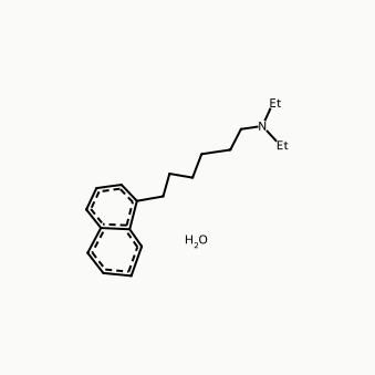 CCN(CC)CCCCCCc1cccc2ccccc12.O